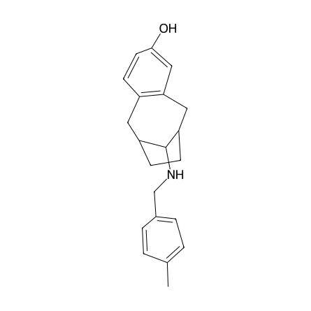 Cc1ccc(CNC2C3CCC2Cc2cc(O)ccc2C3)cc1